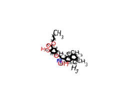 CCCCOC(=O)c1ccc(OC/C(=N/O)c2ccc3c(c2)C(C)(C)CCC3(C)C)cc1O